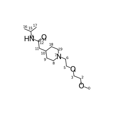 COCCOCCN1CCC(CC(=O)NC(C)C)CC1